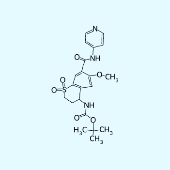 COc1cc2c(cc1C(=O)Nc1ccncc1)S(=O)(=O)CCC2NC(=O)OC(C)(C)C